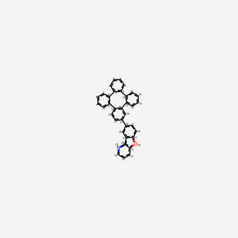 c1ccc2c(c1)-c1ccccc1-c1ccc(-c3ccc4oc5cccnc5c4c3)cc1-c1ccccc1-2